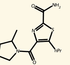 CCCc1sc(C(N)=O)nc1C(=O)N1CCCC1C